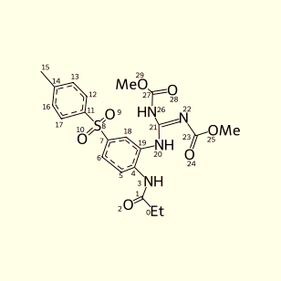 CCC(=O)Nc1ccc(S(=O)(=O)c2ccc(C)cc2)cc1NC(=NC(=O)OC)NC(=O)OC